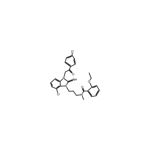 CCOc1ccccc1C(=O)N(C)CCCn1c(=N)n(CC(=O)c2ccc(Cl)cc2)c2cccc(Cl)c21